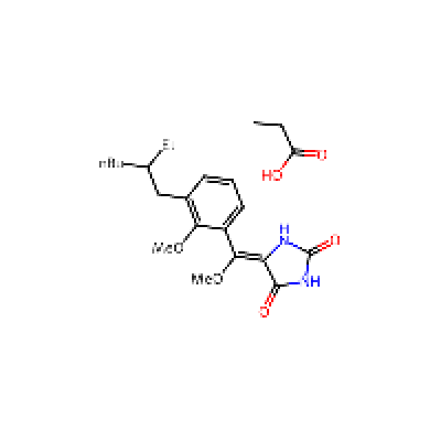 CCC(=O)O.CCCCC(CC)Cc1cccc(C(OC)=C2NC(=O)NC2=O)c1OC